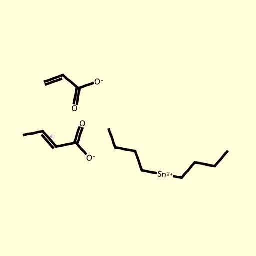 C/C=C/C(=O)[O-].C=CC(=O)[O-].CCC[CH2][Sn+2][CH2]CCC